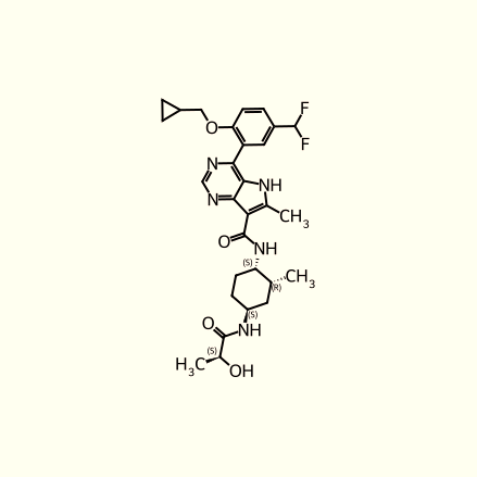 Cc1[nH]c2c(-c3cc(C(F)F)ccc3OCC3CC3)ncnc2c1C(=O)N[C@H]1CC[C@H](NC(=O)[C@H](C)O)C[C@H]1C